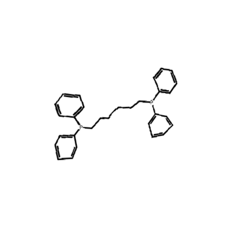 [CH](CCCCCP(c1ccccc1)c1ccccc1)P(c1ccccc1)c1ccccc1